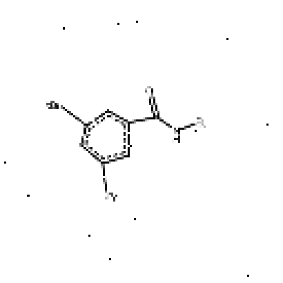 CCNC(=O)c1cc(C(C)C)cc(C(C)(C)C)c1